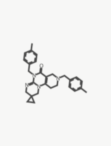 Cc1ccc(CN2CCC3=C(C2)C(=O)N(Cc2ccc(C)cc2)C2=NCC4(CC4)CN23)cc1